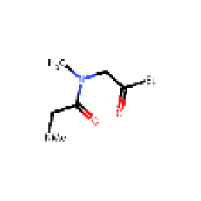 CCC(=O)CN(C)C(=O)CNC